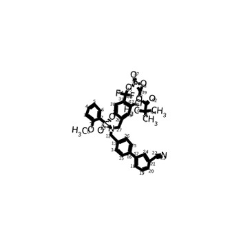 COc1ccccc1S(=O)(=O)N(Cc1ccc(-c2cccc(C#N)c2)cc1)Cc1ccc(C(F)(F)OP2(=O)OC2OC(=O)C(C)(C)C)c(Cl)c1